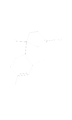 ON1CCC(F)(c2ccc(F)cc2Cl)C1